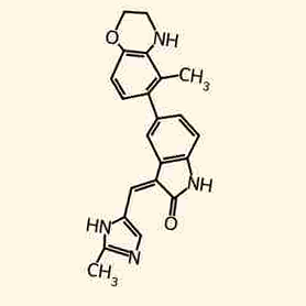 Cc1ncc(C=C2C(=O)Nc3ccc(-c4ccc5c(c4C)NCCO5)cc32)[nH]1